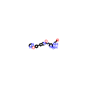 CNc1ncc(/C=C/C(=O)N2CC3C=C(c4ccc(Oc5ncccn5)cc4)CC3C2)cc1NCCC=O